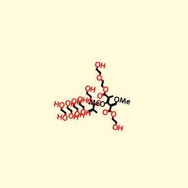 C=C(C)C(=O)OCCO.COC=C(C(=O)OCCO)C(OC)=C(C)C(=O)OCCOCCO.OCCO.OCCO.OCCO.OCCO